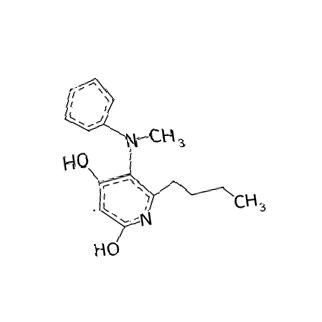 CCCCc1nc(O)[c]c(O)c1N(C)c1ccccc1